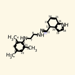 Cc1cc(C)c(NCCN/N=C/C2CC=Cc3[nH]ccc32)c(C)c1